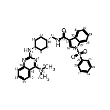 CN(C)c1nc(N[C@H]2CC[C@@H](CNC(=O)c3cn(S(=O)(=O)c4ccccc4)c4ccccc34)CC2)nc2ccccc12